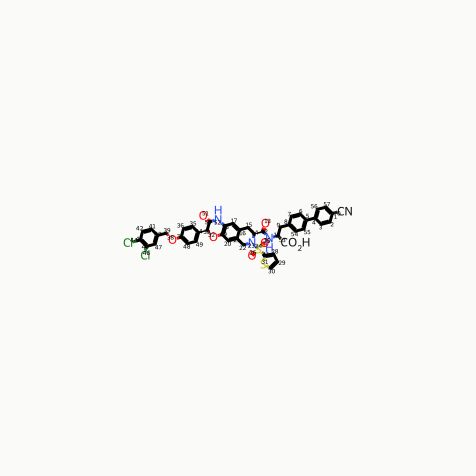 N#Cc1ccc(-c2ccc(CC(NC(=O)[C@@H]3Cc4cc5c(cc4CN3S(=O)(=O)c3cccs3)O[C@@H](c3ccc(OCc4ccc(Cl)c(Cl)c4)cc3)C(=O)N5)C(=O)O)cc2)cc1